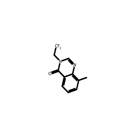 Cc1cccc2c(=O)n(CC(F)(F)F)cnc12